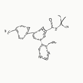 CC(C)c1ncncc1-c1cc(C(=O)NC(C)(C)C#N)cc(-c2ccc(C(F)(F)F)cc2)c1